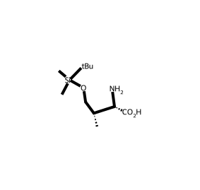 C[C@H](CO[Si](C)(C)C(C)(C)C)[C@H](N)C(=O)O